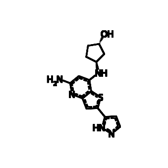 Nc1cc(N[C@H]2CC[C@H](O)C2)c2sc(-c3ccn[nH]3)cc2n1